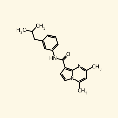 Cc1cc(C)n2ccc(C(=O)Nc3cccc(CC(C)C)c3)c2n1